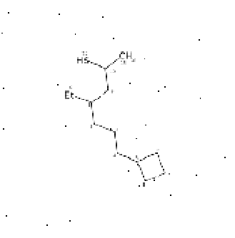 CCC(CCCC1CCC1)CC(C)S